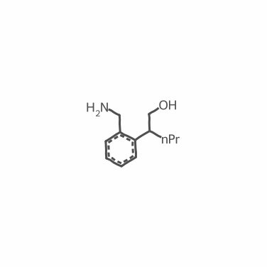 CCCC(CO)c1ccccc1CN